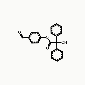 O=Cc1ccc(OC(=O)C(O)(c2ccccc2)c2ccccc2)cc1